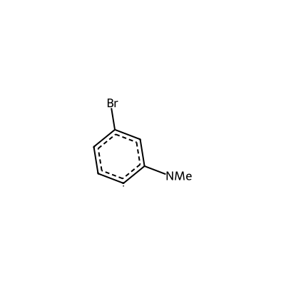 CNc1[c]ccc(Br)c1